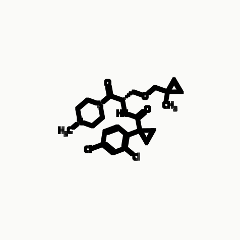 CN1CCN(C(=O)[C@H](COCC2(C)CC2)NC(=O)C2(c3ccc(Cl)cc3Cl)CC2)CC1